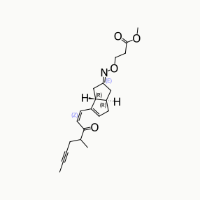 CC#CCC(C)C(=O)/C=C\C1=CC[C@@H]2C/C(=N\OCCC(=O)OC)C[C@@H]12